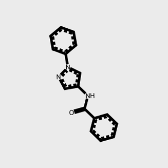 O=C(Nc1cnn(-c2ccccc2)c1)c1ccccc1